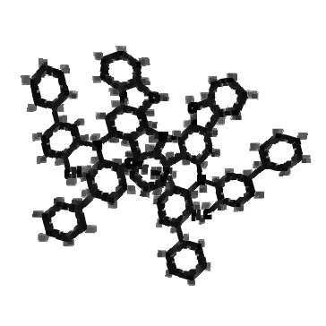 Cc1ccc(-c2ccccc2)cc1N(c1cc(-c2ccccc2)ccc1C)c1cc2c3ccccc3oc2c2c1c1cccc3c4c(N(c5cc(-c6ccccc6)ccc5C)c5cc(-c6ccccc6)ccc5C)cc5c6ccccc6oc5c4n2c13